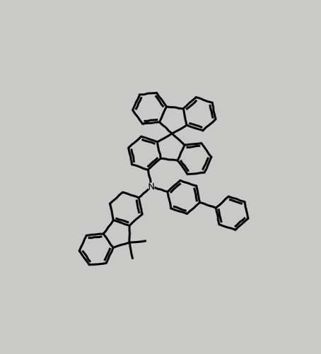 CC1(C)C2=C(CCC(N(c3ccc(-c4ccccc4)cc3)c3cccc4c3-c3ccccc3C43c4ccccc4-c4ccccc43)=C2)c2ccccc21